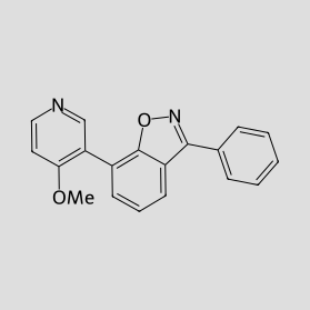 COc1ccncc1-c1cccc2c(-c3ccccc3)noc12